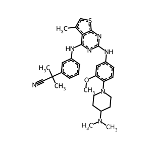 COc1cc(Nc2nc(Nc3cccc(C(C)(C)C#N)c3)c3c(C)csc3n2)ccc1N1CCC(N(C)C)CC1